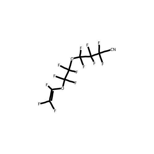 N#CC(F)(F)C(F)(F)C(F)(F)OC(F)(F)C(F)(F)OC(F)=C(F)F